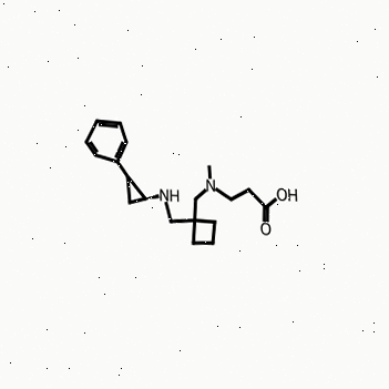 CN(CCC(=O)O)CC1(CN[C@H]2CC2c2ccccc2)CCC1